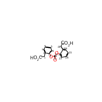 O=C(O)Cc1ccccc1OC(=O)Oc1ccccc1CC(=O)O